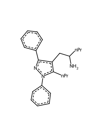 CCCc1c(CC(N)CCC)c(-c2ccccc2)nn1-c1ccccc1